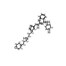 c1ccc2c(NC3CCNCC3)nc(NCc3cn(CCCNCCCN4CCOCC4)nn3)nc2c1